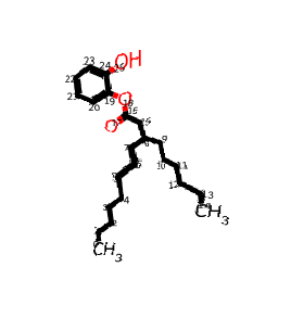 CCCCCCCCC(CCCCCC)CC(=O)Oc1ccccc1O